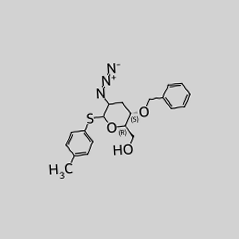 Cc1ccc(SC2O[C@H](CO)[C@@H](OCc3ccccc3)CC2N=[N+]=[N-])cc1